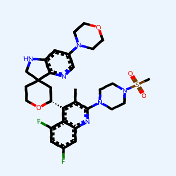 Cc1c(N2CCN(S(C)(=O)=O)CC2)nc2cc(F)cc(F)c2c1[C@H]1CC2(CCO1)CNc1cc(N3CCOCC3)cnc12